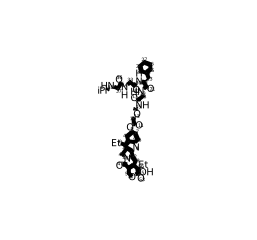 CCc1c2c(nc3ccc(OC(=O)COCNC(=O)CNC(=O)[C@H](Cc4ccccc4)NC(=O)CNC(=O)CNC(C)C)cc13)-c1cc3c(c(=O)n1C2)COC(=O)[C@]3(O)CC